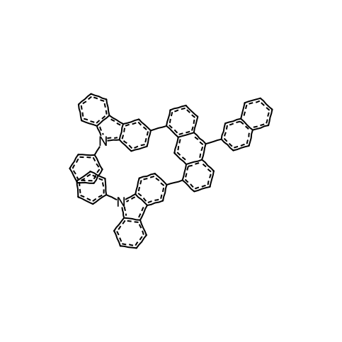 c1ccc(-n2c3ccccc3c3cc(-c4cccc5c(-c6ccc7ccccc7c6)c6cccc(-c7ccc8c(c7)c7ccccc7n8-c7ccccc7)c6cc45)ccc32)cc1